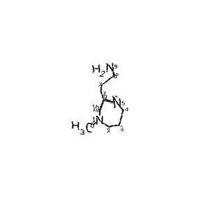 CN1CCC[N]C(CCN)C1